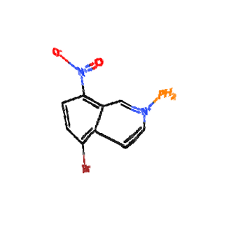 O=[N+]([O-])c1ccc(Br)c2cc[n+](P)cc12